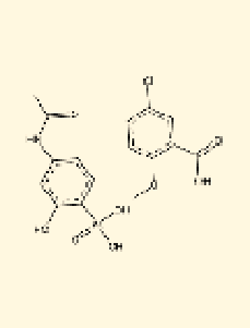 CC(=O)Nc1ccc([As](=O)(O)O)c(O)c1.COc1ccc(Cl)cc1C(=O)O